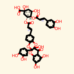 O=C(/C=C/c1ccc(O)c(O)c1)O[C@@H]1[C@H](O)C[C@@](O)(C(=O)O)C[C@H]1OC(=O)/C=C/c1ccc2c(c1)OC1(O)C(=O)c3c(O)cc(O)cc3OC1(c1ccc(O)c(O)c1)O2